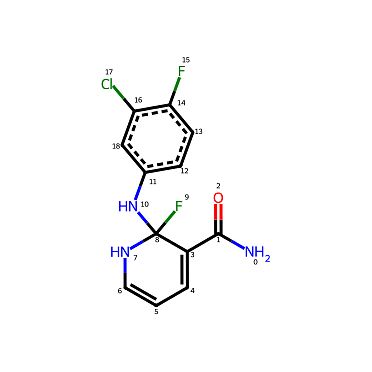 NC(=O)C1=CC=CNC1(F)Nc1ccc(F)c(Cl)c1